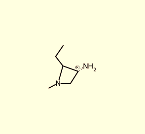 CCC1[C@H](N)CN1C